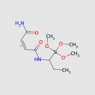 CCC(NC(=O)/C=C\C(N)=O)[Si](OC)(OC)OC